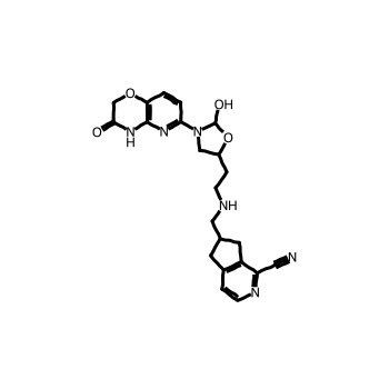 N#Cc1nccc2c1CC(CNCCC1CN(c3ccc4c(n3)NC(=O)CO4)C(O)O1)C2